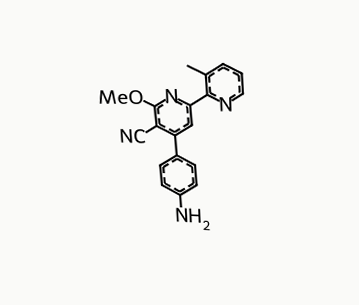 COc1nc(-c2ncccc2C)cc(-c2ccc(N)cc2)c1C#N